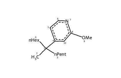 CCCCCCC(C)(CCCCC)c1ccnc(OC)c1